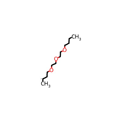 C[CH]CCOCCOCCOCCCC